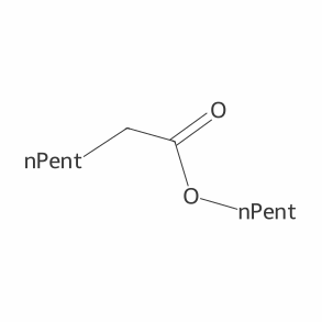 CCCCCCC(=O)OCCCCC